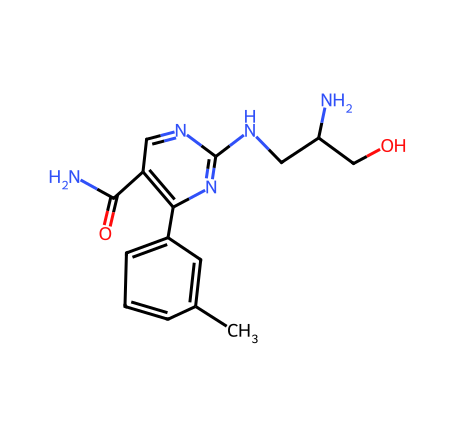 Cc1cccc(-c2nc(NCC(N)CO)ncc2C(N)=O)c1